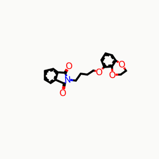 O=C1c2ccccc2C(=O)N1CCCCOc1cccc2c1OCCO2